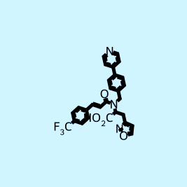 O=C(O)C(Cc1ccon1)N(Cc1ccc(-c2ccncc2)cc1)C(=O)C=Cc1ccc(C(F)(F)F)cc1